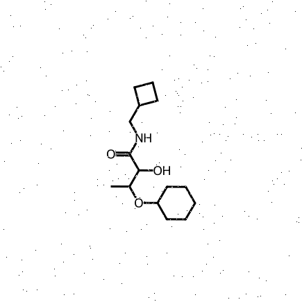 CC(OC1CCCCC1)C(O)C(=O)NCC1CCC1